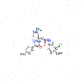 COc1ccc(C2=NC3(CCNCC3)N(CC(=O)Nc3ccc(OC)c(Cl)c3)C2=O)cc1.Cl